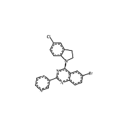 Clc1ccc2c(c1)CCN2c1nc(-c2cccnc2)nc2ccc(Br)cc12